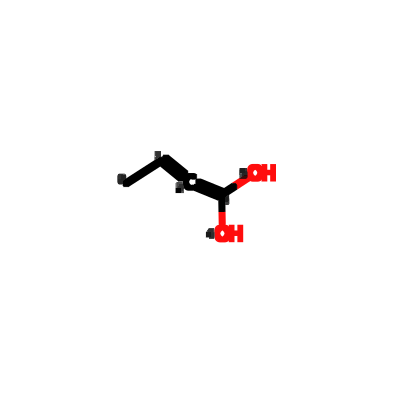 CC=C=C(O)O